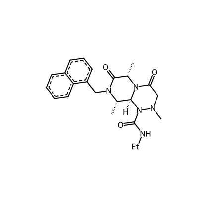 CCNC(=O)N1[C@H]2[C@H](C)N(Cc3cccc4ccccc34)C(=O)[C@H](C)N2C(=O)CN1C